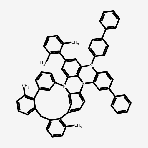 Cc1cccc(C)c1-c1cc2c3c(c1)N1c4cccc(c4)-c4c(C)cccc4Cc4cccc(C)c4-c4ccc(c1c4)B3c1cc(-c3ccccc3)ccc1N2c1ccc(-c2ccccc2)cc1